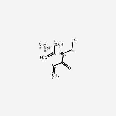 C=CC(=O)NCC(C)C.C=CC(=O)O.[NaH].[NaH]